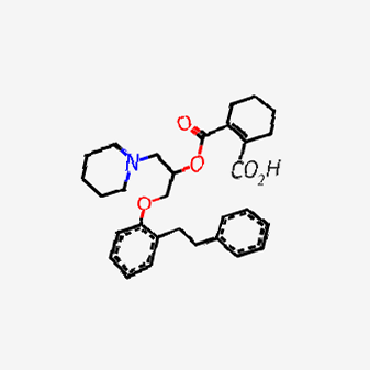 O=C(O)C1=C(C(=O)OC(COc2ccccc2CCc2ccccc2)CN2CCCCC2)CCCC1